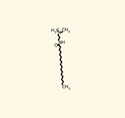 CCCCCCCCCCCCCCCCCC(=O)NCCCN(C)CC